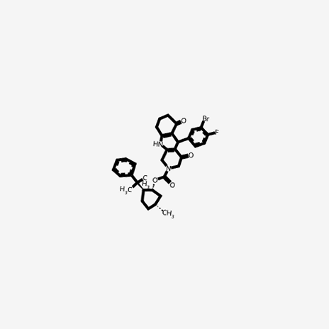 C[C@@H]1CC[C@@H](C(C)(C)c2ccccc2)[C@H](OC(=O)N2CC(=O)C3=C(C2)NC2=C(C(=O)CCC2)C3c2ccc(F)c(Br)c2)C1